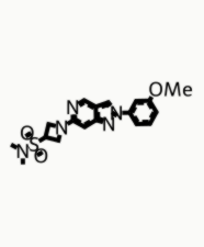 COc1cccc(-n2cc3cnc(N4CC(S(=O)(=O)N(C)C)C4)cc3n2)c1